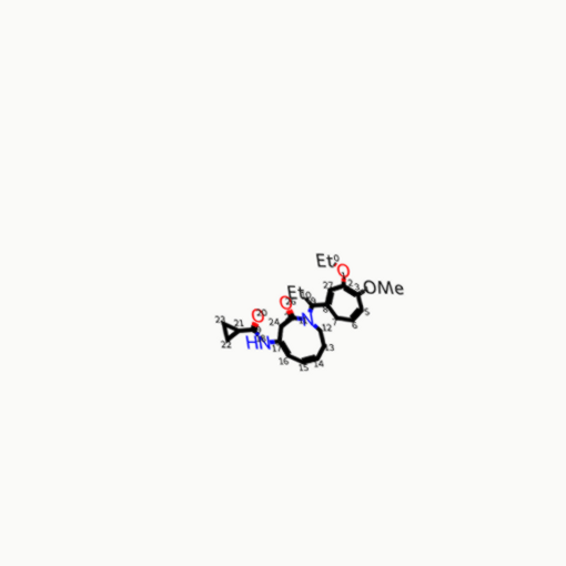 CCOC1=C(OC)C=CCC(C(CC)N2CC/C=C\C=C(\NC(=O)C3CC3)CC2=O)=C1